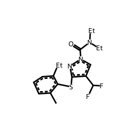 CCc1cccc(C)c1Sc1nn(C(=O)N(CC)CC)cc1C(F)F